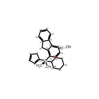 Cl.Cl.[CH2]=[Zr]([CH3])([C]1=CC=CC1)([c]1cccc2c1Cc1ccccc1-2)[CH]1CCCCC1